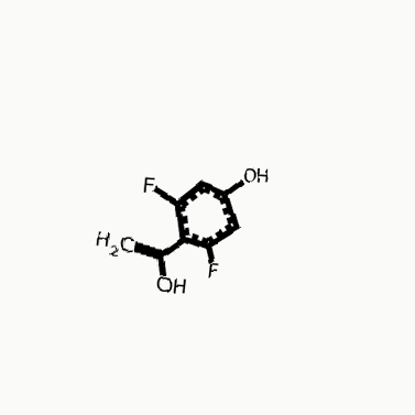 C=C(O)c1c(F)cc(O)cc1F